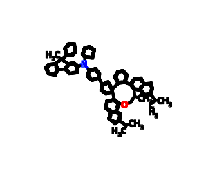 CC(C)c1ccc2ccc3c(c2c1)OC[C@H](C)c1c(ccc2ccc(C(C)C)cc12)-c1ccccc1-c1cc(-c2ccc(N(c4ccccc4)c4ccc5c(c4)C(C)(c4ccccc4)c4ccccc4-5)cc2)ccc1-3